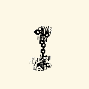 COC(=O)NC(C(=O)N([C@H]1[C@H]2C[C@]21C)[C@@H](C)c1nc(-c2ccc(-c3ccc4c(ccc5[nH]c([C@@H]6CC[C@H]7C[C@H]7N6C(=O)[C@@H](NC(=O)OC)C6CCOCC6)nc54)c3)cc2)c(CCl)[nH]1)C1CCOCC1